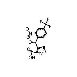 O=C(c1ccc(C(F)(F)F)cc1[N+](=O)[O-])c1conc1C(=O)O